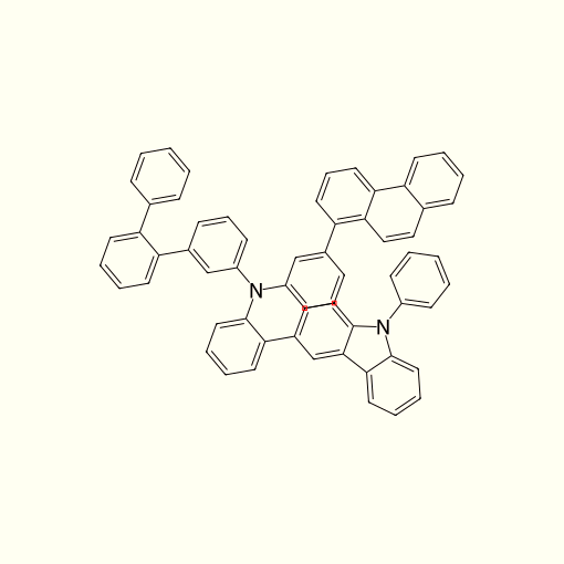 c1ccc(-c2ccccc2-c2cccc(N(c3cccc(-c4cccc5c4ccc4ccccc45)c3)c3ccccc3-c3ccc4c(c3)c3ccccc3n4-c3ccccc3)c2)cc1